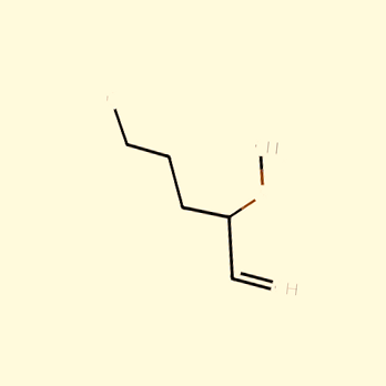 [CH]=CC(CCCC)SC